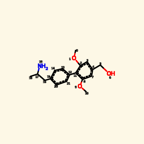 COc1cc(CO)cc(OC)c1-c1ccc(CC(C)N)cc1